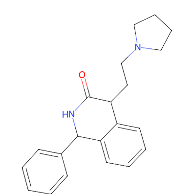 O=C1NC(c2ccccc2)c2ccccc2C1CCN1CCCC1